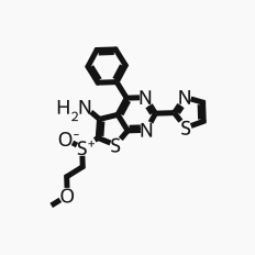 COCC[S+]([O-])c1sc2nc(-c3nccs3)nc(-c3ccccc3)c2c1N